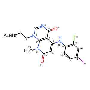 CC(=O)NCCn1cnc(=O)c2c(Nc3ccc(I)cc3F)cc(=O)n(C)c21